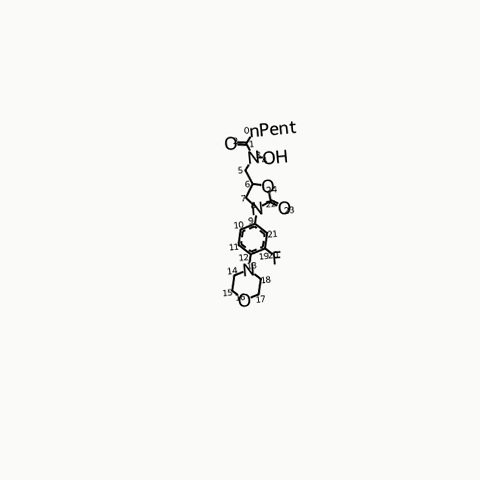 CCCCCC(=O)N(O)CC1CN(c2ccc(N3CCOCC3)c(F)c2)C(=O)O1